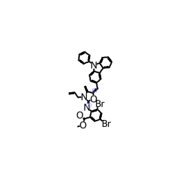 C=CCn1c(=C)/c(=C\c2ccc3c(c2)c2ccccc2n3-c2ccccc2)o/c1=N\c1c(Br)cc(Br)cc1C(=O)OC